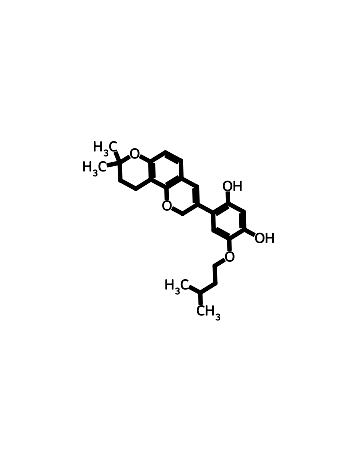 CC(C)CCOc1cc(C2=Cc3ccc4c(c3OC2)CCC(C)(C)O4)c(O)cc1O